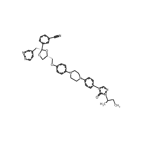 CCC(C)n1ncn(-c2ccc(N3CCN(c4ccc(OC[C@@H]5CO[C@@](Cc6ccnnc6)(c6cccc(C#N)c6)O5)cc4)CC3)cc2)c1=O